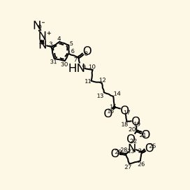 [N-]=[N+]=Nc1ccc(C(=O)NCCCCCC(=O)OCOC(=O)ON2C(=O)CCC2=O)cc1